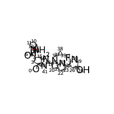 COc1cc(C(=O)N2CC3CCC2[C@@H]3N)cc2nc(-c3cc4ccc(-c5cc(O)cnc5F)nc4n3CC3CC3)n(C)c12